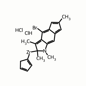 CC1=Cc2c(Br)c3c(cc2=C1)N(C)[C](C)([Zr][C]1=CC=CC1)C=3C.Cl.Cl